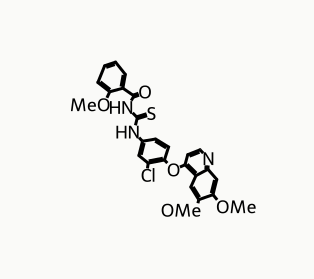 COc1cc2nccc(Oc3ccc(NC(=S)NC(=O)c4ccccc4OC)cc3Cl)c2cc1OC